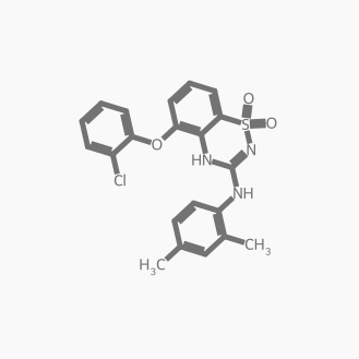 Cc1ccc(NC2=NS(=O)(=O)c3cccc(Oc4ccccc4Cl)c3N2)c(C)c1